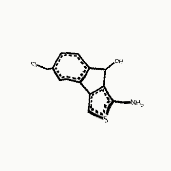 Nc1scc2c1C(O)c1ccc(Cl)cc1-2